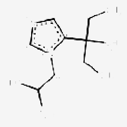 CCC(O)(CC)c1cncn1CC(C)C